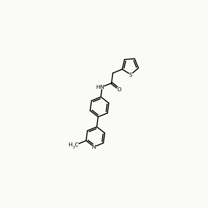 Cc1cc(-c2ccc(NC(=O)Cc3cccs3)cc2)ccn1